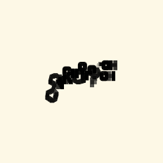 O=C(Nc1ccn([C@H]2O[C@H](CO)[C@@H](O)[C@H]2F)c(=O)n1)c1cccc(-c2ccccc2)n1